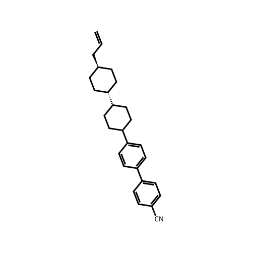 C=CC[C@H]1CC[C@H](C2CCC(c3ccc(-c4ccc(C#N)cc4)cc3)CC2)CC1